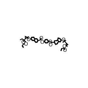 C=CC(=O)OC1(C)CC1C(C)(C)Oc1ccc2cc(C(=O)Oc3ccc(OC(=O)c4ccc5cc(OC6(C)CC6C(C)(CC)OC(=O)C=C)ccc5c4)cc3)ccc2c1